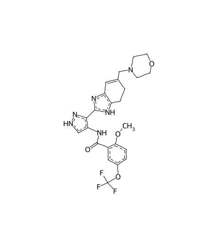 COc1ccc(OC(F)(F)F)cc1C(=O)Nc1c[nH]nc1-c1nc2c([nH]1)CCC(CN1CCOCC1)=C2